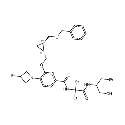 CCC(CC)(NC(=O)c1ccc(N2CC(F)C2)c(OC[C@@H]2C[C@H]2COCc2ccccc2)n1)C(=O)NC(CO)CC(C)C